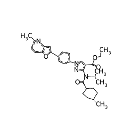 CCOC(=O)c1cn(-c2ccc(-c3cc4nc(C)ccc4o3)cc2)nc1N(C(=O)[C@H]1CC[C@H](C)CC1)C(C)C